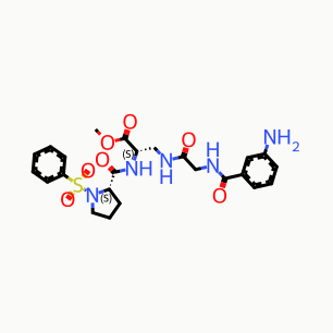 COC(=O)[C@H](CNC(=O)CNC(=O)c1cccc(N)c1)NC(=O)[C@@H]1CCCN1S(=O)(=O)c1ccccc1